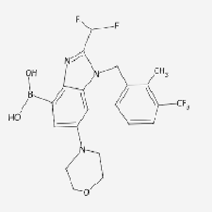 Cc1c(Cn2c(C(F)F)nc3c(B(O)O)cc(N4CCOCC4)cc32)cccc1C(F)(F)F